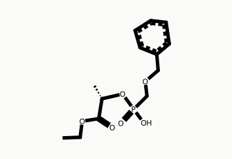 CCOC(=O)[C@H](C)OP(=O)(O)COCc1ccccc1